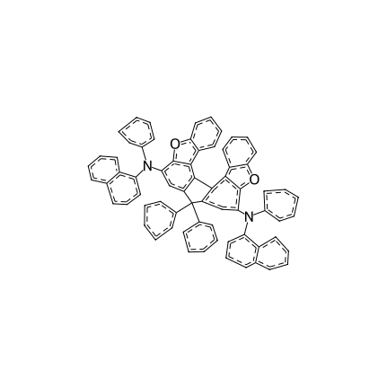 c1ccc(N(c2cccc3ccccc23)c2cc3c(c4c2oc2ccccc24)-c2c(cc(N(c4ccccc4)c4cccc5ccccc45)c4oc5ccccc5c24)C3(c2ccccc2)c2ccccc2)cc1